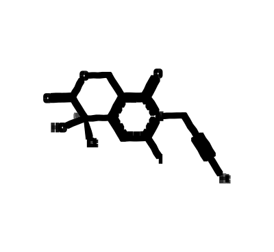 CCC#CCn1c(I)cc2c(c1=O)COC(=O)[C@]2(O)CC